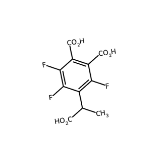 CC(C(=O)O)c1c(F)c(F)c(C(=O)O)c(C(=O)O)c1F